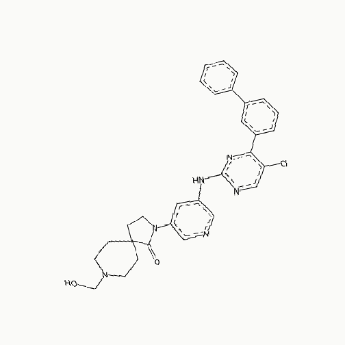 O=C1N(c2cncc(Nc3ncc(Cl)c(-c4cccc(-c5ccccc5)c4)n3)c2)CCC12CCN(CO)CC2